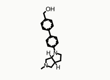 CN1C[C@H]2CCN(c3ccc(-c4ccc(CO)cc4)cc3)[C@H]2C1